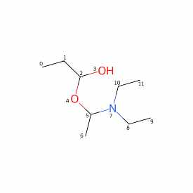 CCC(O)OC(C)N(CC)CC